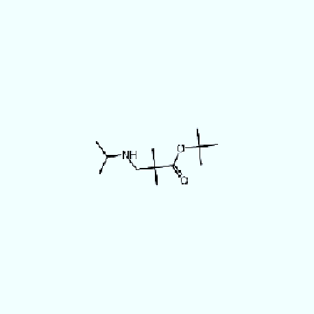 CC(C)NCC(C)(C)C(=O)OC(C)(C)C